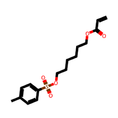 C=CC(=O)OCCCCCCOS(=O)(=O)c1ccc(C)cc1